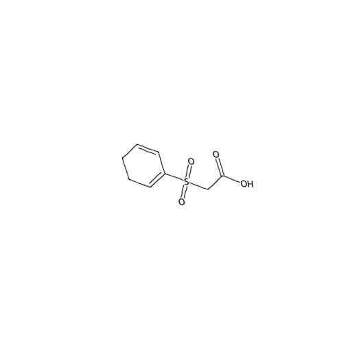 O=C(O)CS(=O)(=O)C1=CCCC=C1